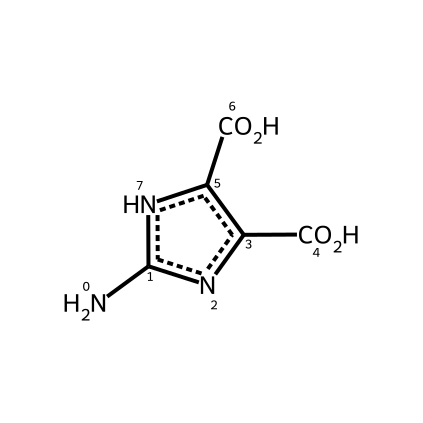 Nc1nc(C(=O)O)c(C(=O)O)[nH]1